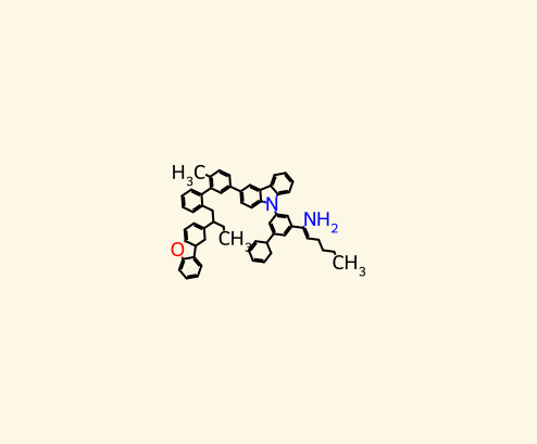 CCCC/C=C(\N)c1cc(C2C=CC=CC2)cc(-n2c3ccccc3c3cc(-c4ccc(C)c(-c5ccccc5CC(CC)C5=CC=C6Oc7ccccc7C6C5)c4)ccc32)c1